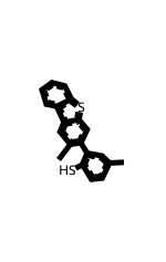 Cc1ccc(S)c(-c2cc3sc4ccccc4c3cc2C)c1